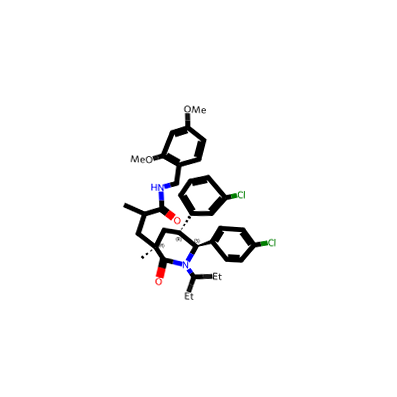 CCC(CC)N1C(=O)[C@@](C)(CC(C)C(=O)NCc2ccc(OC)cc2OC)C[C@H](c2cccc(Cl)c2)[C@H]1c1ccc(Cl)cc1